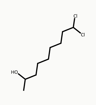 CC(O)CCCCCCC(Cl)Cl